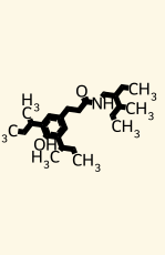 CCC(C)c1cc(CCC(=O)NCC(CC)C(C)CC)cc(C(C)CC)c1O